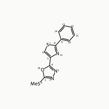 CSc1nnc(-c2csc(-c3ccccc3)n2)o1